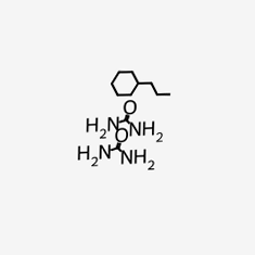 CCCC1CCCCC1.NC(N)=O.NC(N)=O